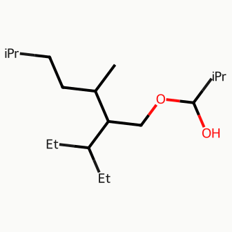 CCC(CC)C(COC(O)C(C)C)C(C)CCC(C)C